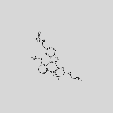 CCOc1cccc(-c2nc3ncc(CN[SH](=O)=O)nc3n2-c2c(OC)cccc2OC)n1